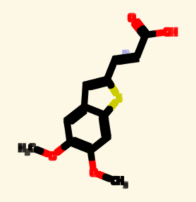 COc1cc2cc(/C=C/C(=O)O)sc2cc1OC